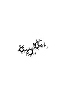 Cn1nc(-c2[c]c(-c3cccs3)ncc2)cc1C(F)(F)F